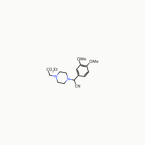 CCOC(=O)CN1CCN(C(C#N)c2ccc(OC)c(OC)c2)CC1